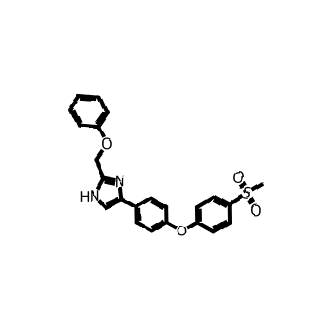 CS(=O)(=O)c1ccc(Oc2ccc(-c3c[nH]c(COc4ccccc4)n3)cc2)cc1